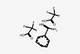 N=C(N)c1ccccc1.O=C(O)C(F)(F)F.O=C(O)C(F)(F)F